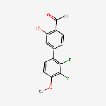 CCOc1ccc(-c2ccc(C(=O)CC)c(O)c2)c(F)c1F